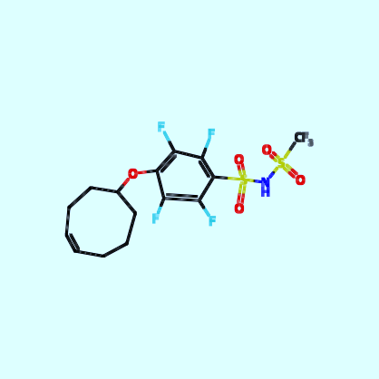 O=S(=O)(NS(=O)(=O)C(F)(F)F)c1c(F)c(F)c(OC2CC/C=C\CCC2)c(F)c1F